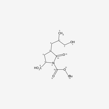 CC(CO)CC1CC(C(=O)O)N(C(=O)OC(C)(C)C)C1=O